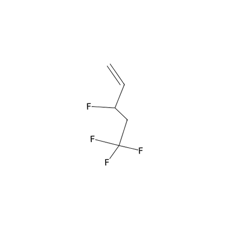 C=CC(F)CC(F)(F)F